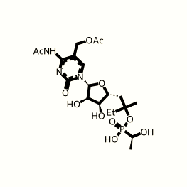 CCC(C)(C[C@H]1O[C@@H](n2cc(COC(C)=O)c(NC(C)=O)nc2=O)[C@H](O)[C@@H]1O)OP(=O)(O)[C@H](C)O